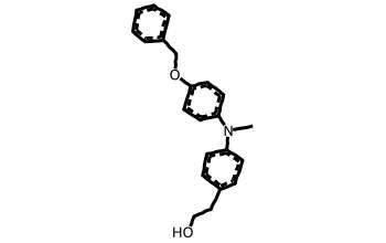 CN(c1ccc(CCO)cc1)c1ccc(OCc2ccccc2)cc1